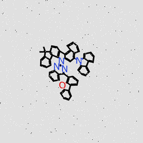 CC1(C)c2ccccc2-c2c1ccc1c3c4ccccc4c(-n4c5ccccc5c5ccccc54)cc3n(-c3nc(-c4cccc5c4oc4ccccc45)c4ccccc4n3)c21